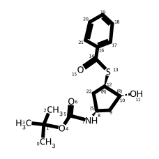 CC(C)(C)OC(=O)N[C@H]1C[C@@H](O)[C@H](SC(=O)c2ccccc2)C1